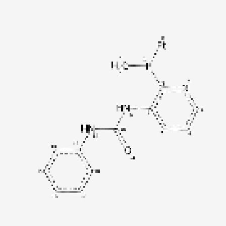 CCP(C)c1ncccc1NC(=O)Nc1ccccc1